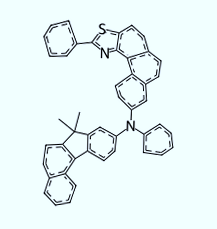 CC1(C)c2cc(N(c3ccccc3)c3ccc4c(ccc5ccc6sc(-c7ccccc7)nc6c54)c3)ccc2-c2c1ccc1ccccc21